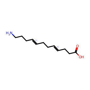 NCCC/C=C/CC/C=C/CCC(=O)O